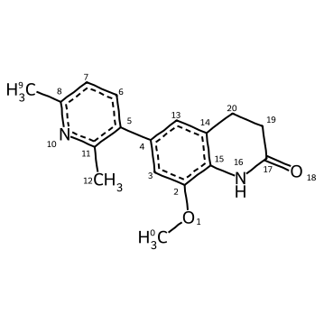 COc1cc(-c2ccc(C)nc2C)cc2c1NC(=O)CC2